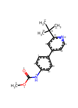 COC(=O)Nc1ccc(-c2ccnc(C(C)(C)C)c2)cc1